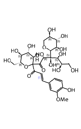 COc1cc(/C=C/C(=O)C2(C(=O)[C@H](O)[C@](O)(C3OC[C@@H](O)[C@H](O)[C@H]3O)[C@@H](O)[C@H](O)CO)O[C@H](CO)[C@@H](O)[C@H](O)[C@H]2O)ccc1O